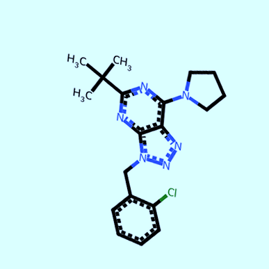 CC(C)(C)c1nc(N2CCCC2)c2nnn(Cc3ccccc3Cl)c2n1